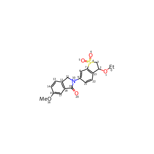 CCOC1CS(=O)(=O)c2cc(N3Cc4ccc(OC)cc4C3=O)ccc21